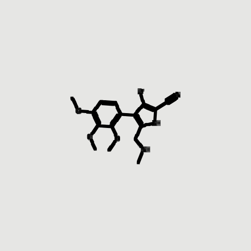 CNCc1[nH]c(C#N)c(Br)c1-c1ccc(OC)c(OC)c1OC